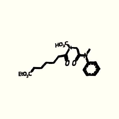 CCOC(=O)CCCCCC(=O)N(CC(=O)N(C)c1ccccc1)C(=O)O